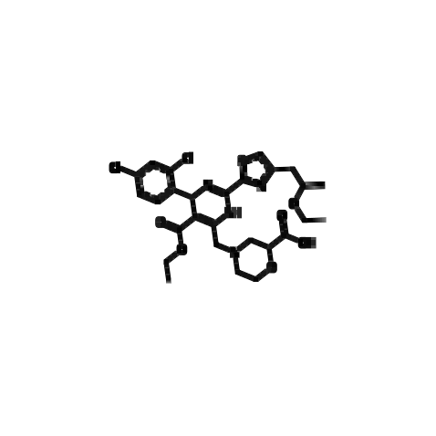 C=C(Cc1csc(C2=NC(c3ccc(Cl)cc3Cl)C(C(=O)OCC)=C(CN3CCOC(C(=O)O)C3)N2)n1)OCC